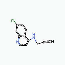 C#CCNc1ccnc2cc(Cl)ccc12